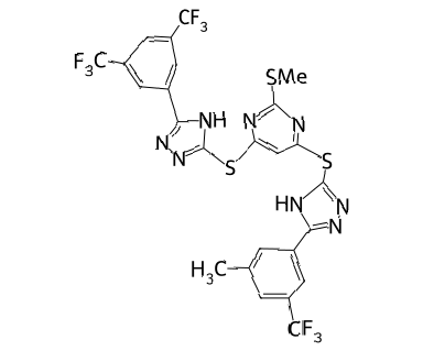 CSc1nc(Sc2nnc(-c3cc(C)cc(C(F)(F)F)c3)[nH]2)cc(Sc2nnc(-c3cc(C(F)(F)F)cc(C(F)(F)F)c3)[nH]2)n1